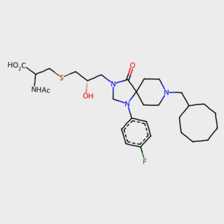 CC(=O)NC(CSC[C@@H](O)CN1CN(c2ccc(F)cc2)C2(CCN(CC3CCCCCCC3)CC2)C1=O)C(=O)O